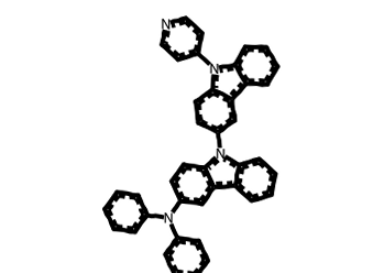 c1ccc(N(c2ccccc2)c2ccc3c(c2)c2ccccc2n3-c2ccc3c(c2)c2ccccc2n3-c2ccncc2)cc1